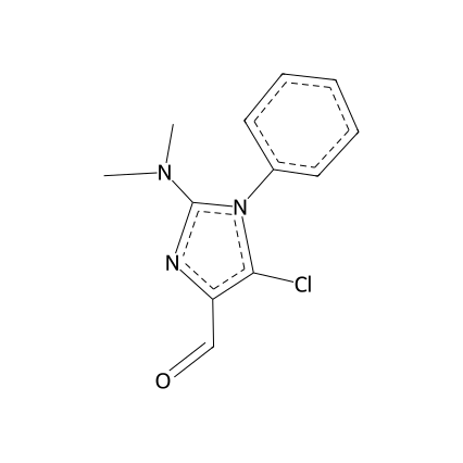 CN(C)c1nc(C=O)c(Cl)n1-c1ccccc1